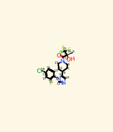 C[C@@](O)(C(=O)N1CCC(c2cncn2-c2ccc(Cl)cc2F)CC1)C(F)(F)F